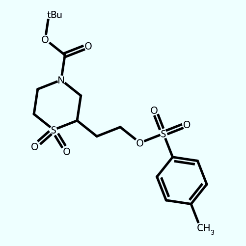 Cc1ccc(S(=O)(=O)OCCC2CN(C(=O)OC(C)(C)C)CCS2(=O)=O)cc1